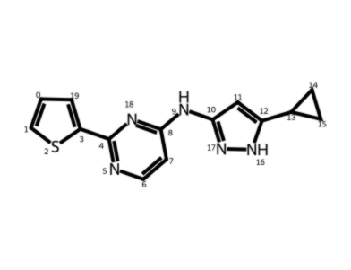 c1csc(-c2nccc(Nc3cc(C4CC4)[nH]n3)n2)c1